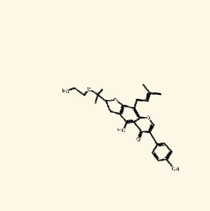 CC(C)=CCc1c2c(c(O)c3c(=O)c(-c4ccc(O)cc4)coc13)CC(C(C)(C)OCCO)O2